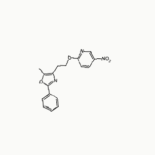 Cc1oc(-c2ccccc2)nc1CCOc1ccc([N+](=O)[O-])cn1